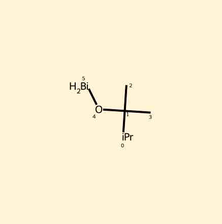 CC(C)C(C)(C)[O][BiH2]